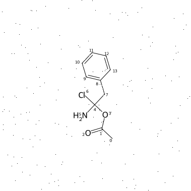 CC(=O)OC(N)(Cl)Cc1ccccc1